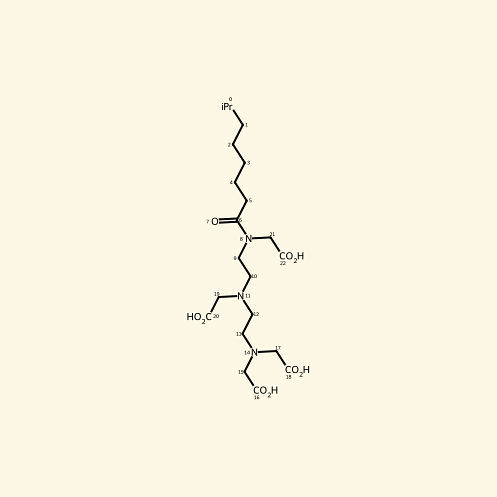 CC(C)CCCCCC(=O)N(CCN(CCN(CC(=O)O)CC(=O)O)CC(=O)O)CC(=O)O